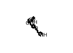 COC(=O)C(Cc1ccc(OCCCC2CCNCC2)cc1)NC(=O)OC(C)(C)C